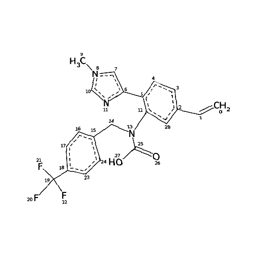 C=Cc1ccc(-c2cn(C)cn2)c(N(Cc2ccc(C(F)(F)F)cc2)C(=O)O)c1